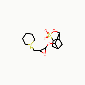 O=S1(=O)OC2C3CC(CC31)C2OC1OC1C[SH]1CCCCC1